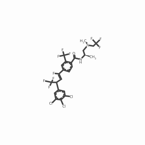 C[C@H](CN(C)CC(F)(F)F)NC(=O)c1ccc(/C(F)=C/C(c2cc(Cl)c(Cl)c(Cl)c2)C(F)(F)F)cc1C(F)(F)F